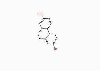 Bc1ccc2c(c1)CCc1cc(Br)ccc1-2